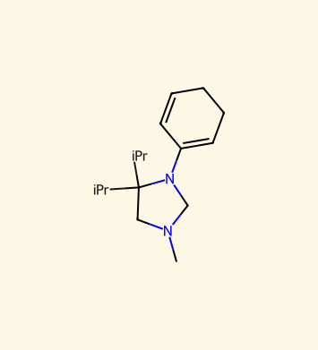 CC(C)C1(C(C)C)CN(C)CN1C1=CCCC=C1